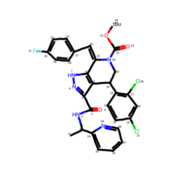 CC(NC(=O)c1n[nH]c2c1C(c1ccc(Cl)cc1Cl)CN(C(=O)OC(C)(C)C)C2=Cc1ccc(F)cc1)c1ccccn1